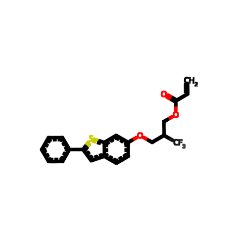 C=CC(=O)OCC(COc1ccc2cc(-c3ccccc3)sc2c1)C(F)(F)F